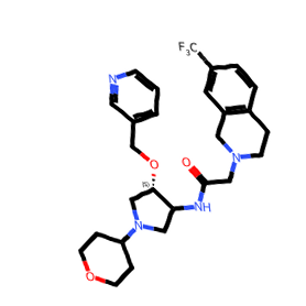 O=C(CN1CCc2ccc(C(F)(F)F)cc2C1)NC1CN(C2CCOCC2)C[C@@H]1OCc1cccnc1